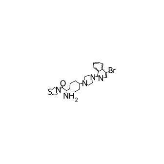 N[C@H](C(=O)N1CCSC1)[C@H]1CC[C@H](N2CCN(c3ncc(Br)c4ccccc34)CC2)CC1